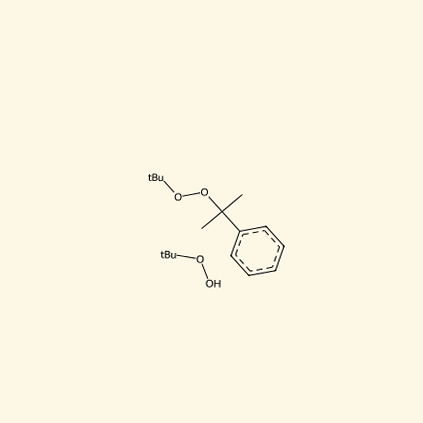 CC(C)(C)OO.CC(C)(C)OOC(C)(C)c1ccccc1